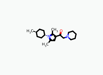 Cc1cc(C(=O)CN2CCCCC2)c(C)n1[C@H]1CC[C@H](C)CC1